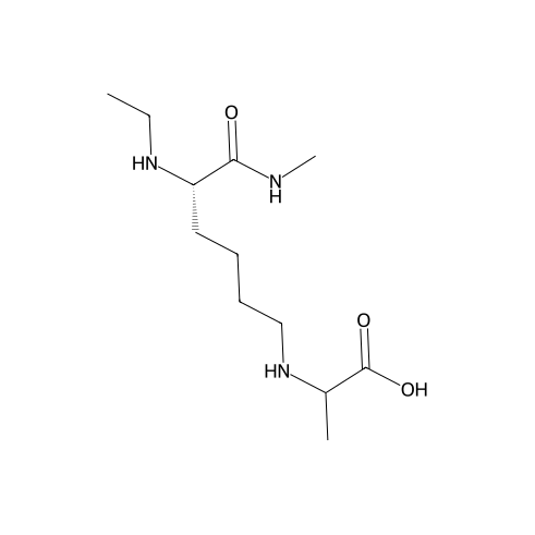 CCN[C@@H](CCCCNC(C)C(=O)O)C(=O)NC